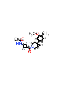 CCC(=O)NC1CC(C(=O)N2CCC3(c4ccc(C)c(OC(F)(F)F)c4)CC3C2)C1